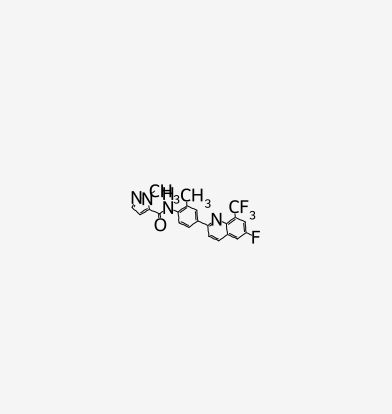 Cc1cc(-c2ccc3cc(F)cc(C(F)(F)F)c3n2)ccc1NC(=O)c1ccnn1C